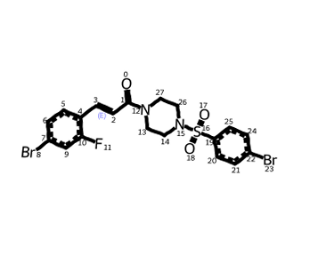 O=C(/C=C/c1ccc(Br)cc1F)N1CCN(S(=O)(=O)c2ccc(Br)cc2)CC1